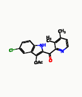 CC(=O)Oc1c(C(=O)c2nccc(C)c2C)[nH]c2ccc(Cl)cc12